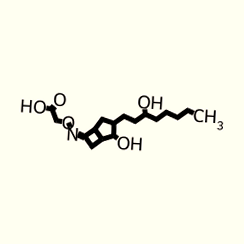 CCCCCC(O)CCC1CC2C(=NOCC(=O)O)CC2C1O